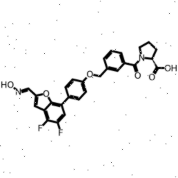 O=C(O)[C@@H]1CCCN1C(=O)c1cccc(COc2ccc(-c3cc(F)c(F)c4cc(/C=N/O)oc34)cc2)c1